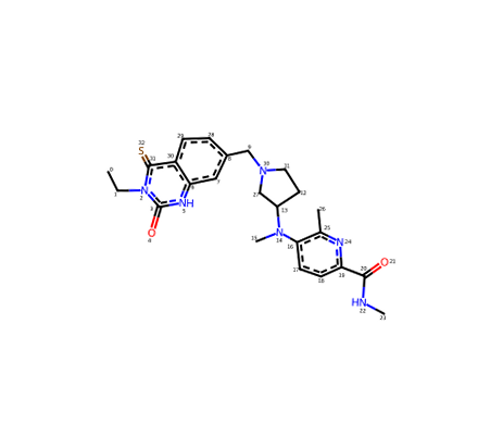 CCn1c(=O)[nH]c2cc(CN3CCC(N(C)c4ccc(C(=O)NC)nc4C)C3)ccc2c1=S